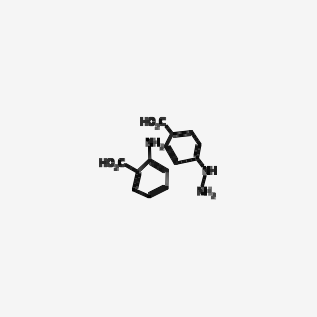 NNc1ccc(C(=O)O)cc1.Nc1ccccc1C(=O)O